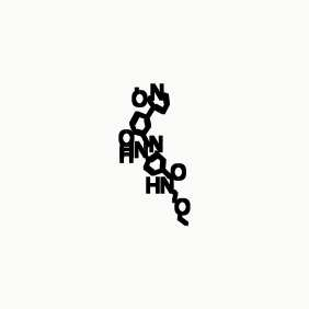 CCOCCNC(=O)c1ccc2[nH]c(-c3cc(-c4cccnc4OC)ccc3O)nc2c1